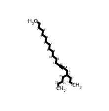 [CH2]CCCCCCCCCCCCC#CCC(CCC)CCC[CH2]